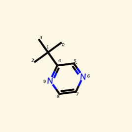 CC(C)(C)c1[c]nccn1